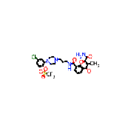 Cc1c(C(N)=O)oc2c(C(=O)NCCCN3CCN(c4cc(Cl)ccc4OS(=O)(=O)C(F)(F)F)CC3)cccc2c1=O